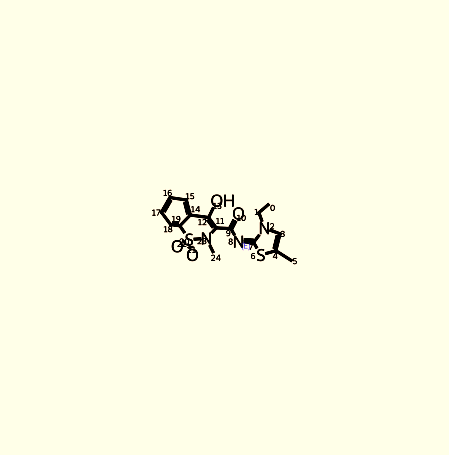 CCn1cc(C)s/c1=N/C(=O)C1=C(O)c2ccccc2S(=O)(=O)N1C